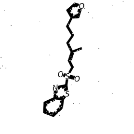 C/C(=C\CS(=O)(=O)c1nc2ccccc2s1)CCCc1ccoc1